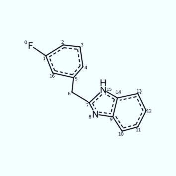 Fc1cccc(Cc2nc3ccc[c]c3[nH]2)c1